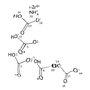 O=C([O-])O.O=C([O-])O.O=C([O-])O.O=C([O-])O.O=C([O-])O.[NH4+].[Zr+4]